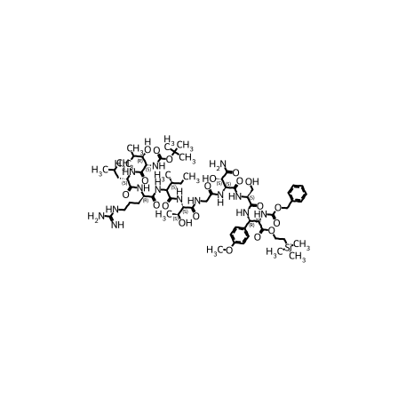 CC[C@H](C)C(NC(=O)[C@@H](CCCNC(=N)N)NC(=O)[C@H](CC(C)C)NC(=O)[C@@H](NC(=O)OC(C)(C)C)[C@H](O)C(C)C)C(=O)N[C@H](C(=O)NCC(=O)N[C@H](C(=O)N[C@@H](CO)C(=O)N[C@H](c1ccc(OC)cc1)[C@H](NC(=O)OCc1ccccc1)C(=O)OCC[Si](C)(C)C)[C@H](O)C(N)=O)[C@H](C)O